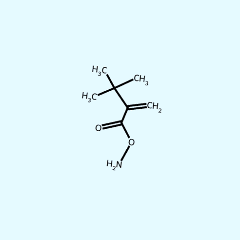 C=C(C(=O)ON)C(C)(C)C